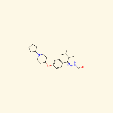 CC(C)C(C)/C(=N\NC=O)c1ccc(OC2CCN(C3CCCC3)CC2)cc1